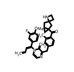 C=C/C=C(/c1ccc(OC)c(F)c1)N1C=CN=C(Cc2ccc(C(=O)C34CC3CC3(CCN3)C4)c(C)c2)C1=C